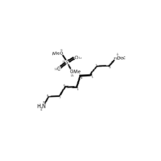 CCCCCCCCCCCCCCCCCCN.COS(=O)(=O)OC